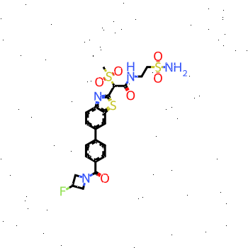 CS(=O)(=O)C(C(=O)NCCS(N)(=O)=O)c1nc2ccc(-c3ccc(C(=O)N4CC(F)C4)cc3)cc2s1